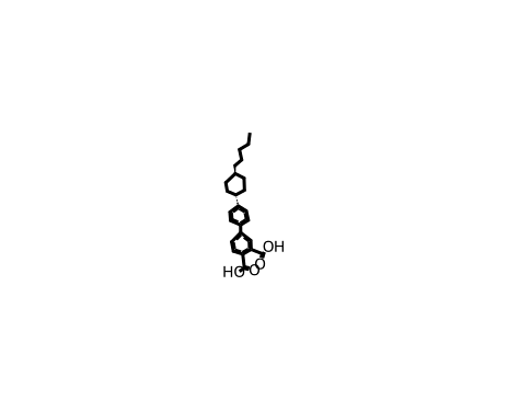 CCCCC[C@H]1CC[C@H](c2ccc(-c3ccc(C(=O)O)c(C(=O)O)c3)cc2)CC1